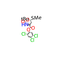 CSCC[C@H](NC(=O)OC(C)(C)C)C(=O)Oc1cc(Cl)c(Cl)cc1Cl